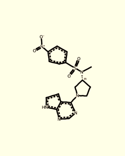 CN([C@@H]1CCN(c2ncnc3[nH]ccc23)C1)S(=O)(=O)c1ccc([N+](=O)[O-])cc1